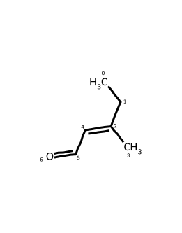 CCC(C)=CC=O